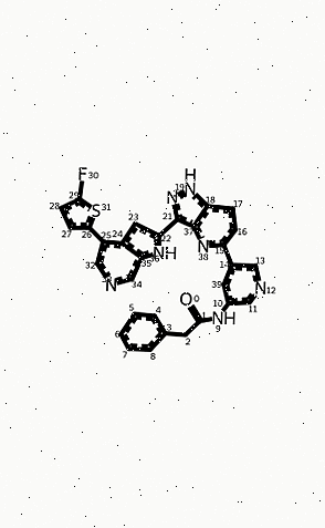 O=C(Cc1ccccc1)Nc1cncc(-c2ccc3[nH]nc(-c4cc5c(-c6ccc(F)s6)cncc5[nH]4)c3n2)c1